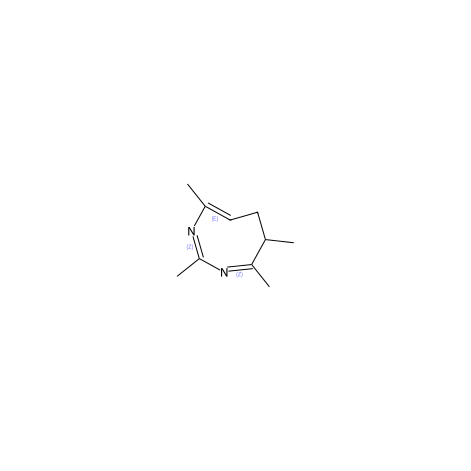 CC1=N/C(C)=C/CC(C)/C(C)=N\1